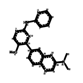 COc1cnc(Nc2cc[c]cn2)nc1-c1ccc2ncc(N(C)C)nc2c1